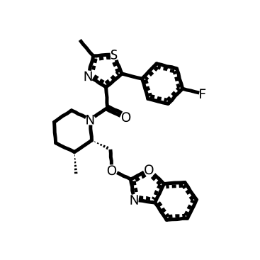 Cc1nc(C(=O)N2CCC[C@@H](C)[C@H]2COc2nc3ccccc3o2)c(-c2ccc(F)cc2)s1